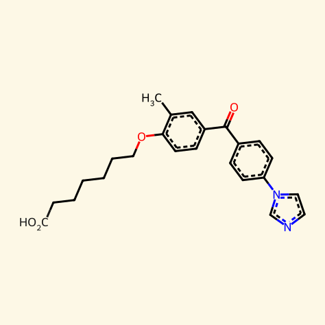 Cc1cc(C(=O)c2ccc(-n3ccnc3)cc2)ccc1OCCCCCCC(=O)O